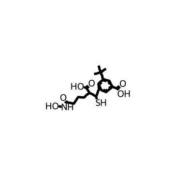 CC(C)(C)c1cc(C(=O)O)cc(C(S)C(CCCC(=O)NO)C(=O)O)c1